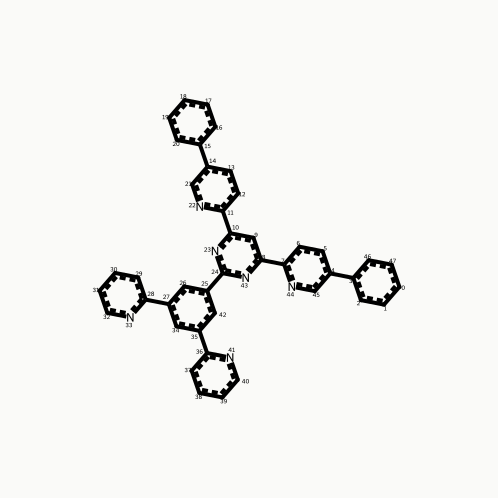 c1ccc(-c2ccc(-c3cc(-c4ccc(-c5ccccc5)cn4)nc(-c4cc(-c5ccccn5)cc(-c5ccccn5)c4)n3)nc2)cc1